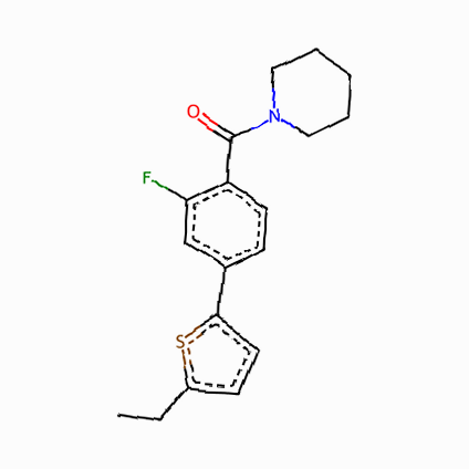 CCc1ccc(-c2ccc(C(=O)N3CCCCC3)c(F)c2)s1